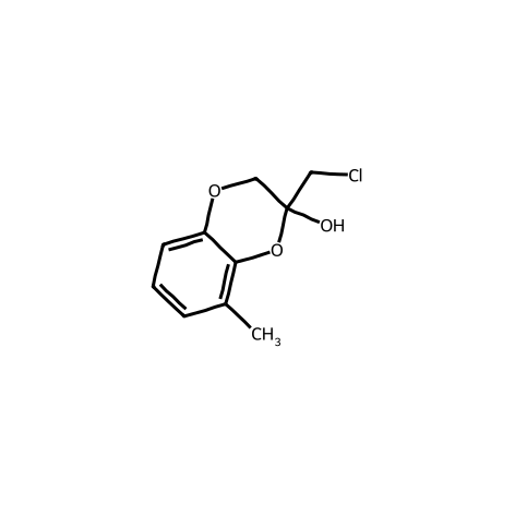 Cc1cccc2c1OC(O)(CCl)CO2